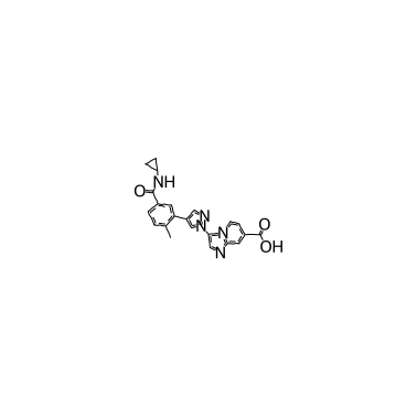 Cc1ccc(C(=O)NC2CC2)cc1-c1cnn(-c2cnc3cc(C(=O)O)ccn23)c1